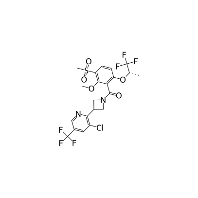 COc1c(S(C)(=O)=O)ccc(O[C@@H](C)C(F)(F)F)c1C(=O)N1CC(c2ncc(C(F)(F)F)cc2Cl)C1